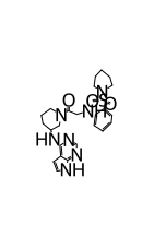 O=C(CNc1ccccc1S(=O)(=O)N1CCCCC1)N1CCC[C@H](Nc2ncnc3[nH]ccc23)C1